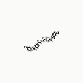 CN(c1nc2cc(Cl)ccc2s1)C1CCN(C(=O)CCCC(=O)N2CCC(N(C)c3nc4cc(Cl)ccc4s3)CC2)CC1